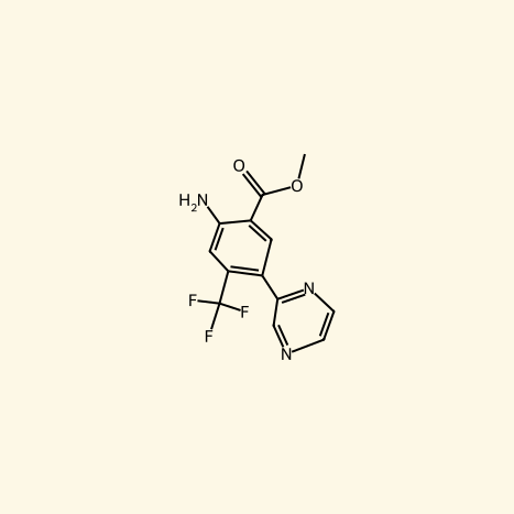 COC(=O)c1cc(-c2cnccn2)c(C(F)(F)F)cc1N